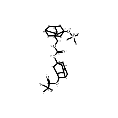 CC(F)(F)C(=O)OC1C2CC3CC1CC(OC(=O)OCC14CC5CC(C1)CC(O[Si](C)(C)C)(C5)C4)(C3)C2